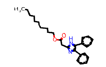 CCCCCCCCCCOC(=O)Cc1nc(-c2ccccc2)c(-c2ccccc2)[nH]1